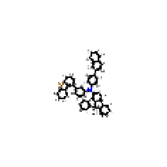 CC1(c2ccccc2)c2ccccc2-c2ccc(N(c3ccc(-c4ccc5ccccc5c4)cc3)c3cccc(-c4cccc5sc6ccccc6c45)c3)cc21